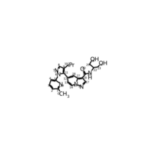 Cc1cccc(-n2ncc(C(C)C)c2-c2ccn3ncc(C(=O)NC(CO)CO)c3c2)n1